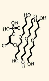 O=P(O)(O)OC=C(Cl)Cl.OCCCCOCCCCO.OCCCCOCCCCO.OCCCCOCCCCO